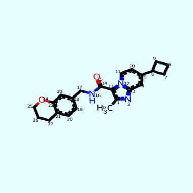 Cc1nc2cc(C3CCC3)ccn2c1C(=O)NCc1ccc2c(c1)OCCC2